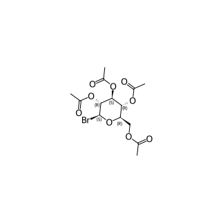 CC(=O)OC[C@H]1O[C@@H](Br)[C@H](OC(C)=O)[C@@H](OC(C)=O)[C@@H]1OC(C)=O